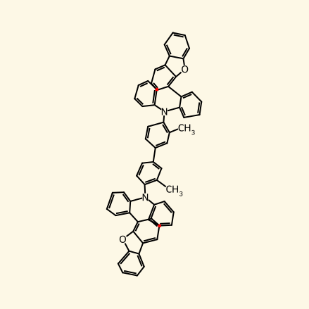 Cc1cc(-c2ccc(N(c3ccccc3)c3ccccc3-c3cccc4c3oc3ccccc34)c(C)c2)ccc1N(c1ccccc1)c1ccccc1-c1cccc2c1oc1ccccc12